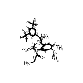 CCOC(=O)N1c2cc(OC)c(OC)cc2[C@@H]([C@@H](O)c2cc(C(F)(F)F)cc(C(F)(F)F)c2)C[C@@H]1C